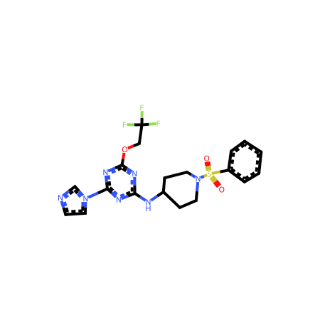 O=S(=O)(c1ccccc1)N1CCC(Nc2nc(OCC(F)(F)F)nc(-n3ccnc3)n2)CC1